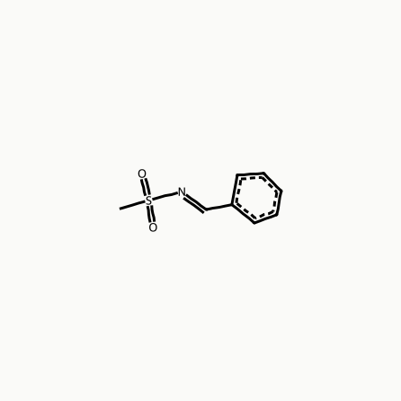 CS(=O)(=O)/N=C/c1ccccc1